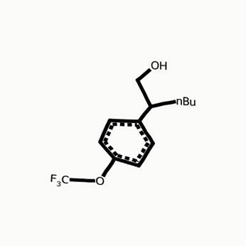 CCCCC(CO)c1ccc(OC(F)(F)F)cc1